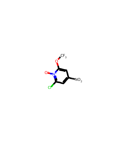 O=[N+]([O-])c1cc(Cl)[n+]([O-])c(OC(F)(F)F)c1